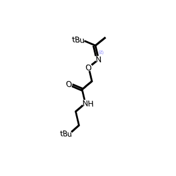 C/C(=N/OCC(=O)NCCC(C)(C)C)C(C)(C)C